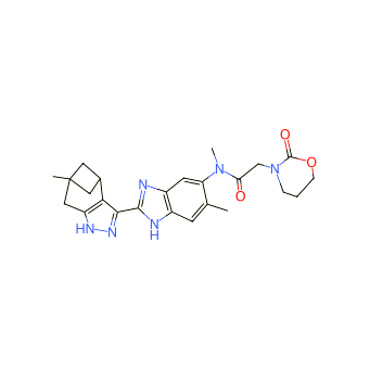 Cc1cc2[nH]c(-c3n[nH]c4c3C3CC(C)(C4)C3)nc2cc1N(C)C(=O)CN1CCCOC1=O